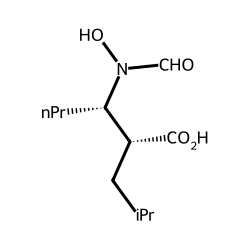 CCC[C@@H]([C@@H](CC(C)C)C(=O)O)N(O)C=O